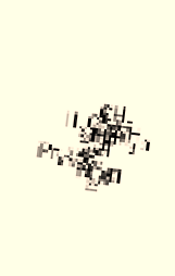 C=C(C)C(C)=CC.CC(C)CCCP(CCCC(C)C)(CCCC(C)C)=NC1=CC=CC1.[Ti]